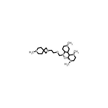 CN1CCC2(CC1)CN(CCOCN(C)C1CCN(C)CC1C1CN(C)CCN1C)C2